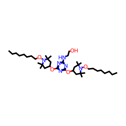 CCCCCCCCON1C(C)(C)CC(Oc2nc(NCCO)nc(OC3CC(C)(C)N(OCCCCCCCC)C(C)(C)C3)n2)CC1(C)C